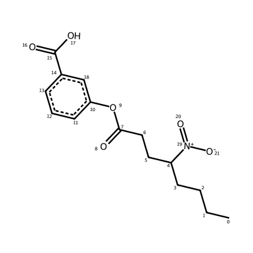 CCCCC(CCC(=O)Oc1cccc(C(=O)O)c1)[N+](=O)[O-]